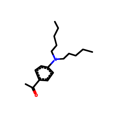 CCCCCN(CCCCC)c1ccc(C(C)=O)cc1